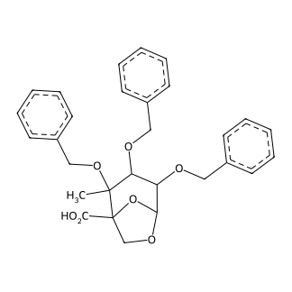 CC1(OCc2ccccc2)C(OCc2ccccc2)C(OCc2ccccc2)C2OCC1(C(=O)O)O2